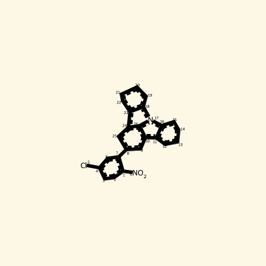 O=[N+]([O-])c1ccc(Cl)cc1-c1cc2c3ccccc3n3c4ccccc4c(c1)c23